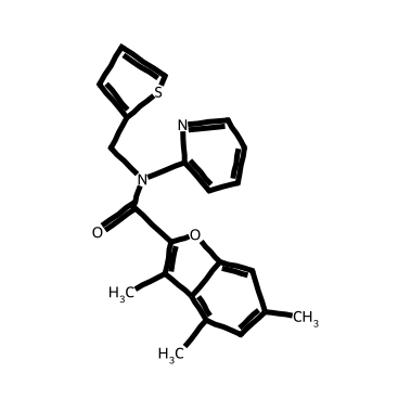 Cc1cc(C)c2c(C)c(C(=O)N(Cc3cccs3)c3ccccn3)oc2c1